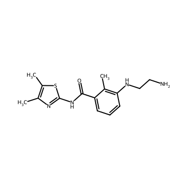 Cc1nc(NC(=O)c2cccc(NCCN)c2C)sc1C